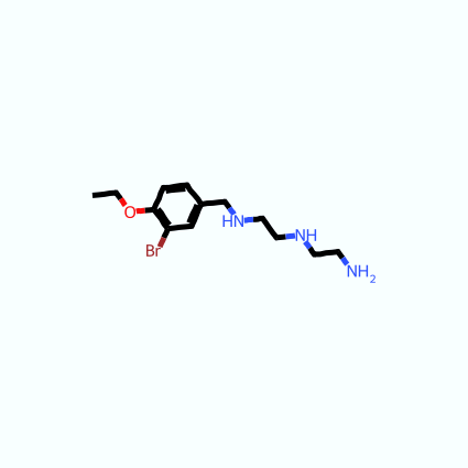 CCOc1ccc(CNCCNCCN)cc1Br